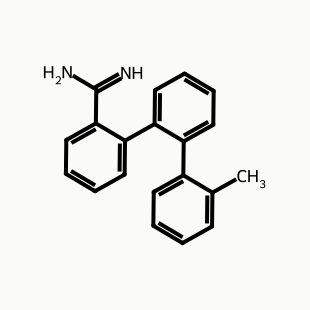 Cc1ccccc1-c1ccccc1-c1ccccc1C(=N)N